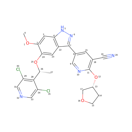 COc1cc2[nH]nc(-c3cnc(O[C@@H]4CCOC4)c(C#N)c3)c2cc1O[C@H](C)c1c(Cl)cncc1Cl